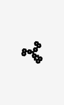 c1ccc2c(-c3ccc(N(c4ccc(-c5cccc6ccccc56)cc4)c4ccc5c(c4)Oc4cccc6cccc(c46)O5)cc3)cccc2c1